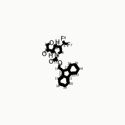 O=C1CO[C@@H]2[C@@H](C(F)F)CN(C(=O)OCC3c4ccccc4-c4ccccc43)[C@H]12